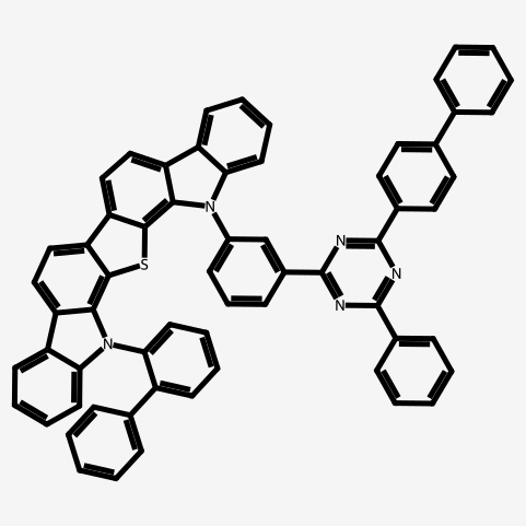 c1ccc(-c2ccc(-c3nc(-c4ccccc4)nc(-c4cccc(-n5c6ccccc6c6ccc7c8ccc9c%10ccccc%10n(-c%10ccccc%10-c%10ccccc%10)c9c8sc7c65)c4)n3)cc2)cc1